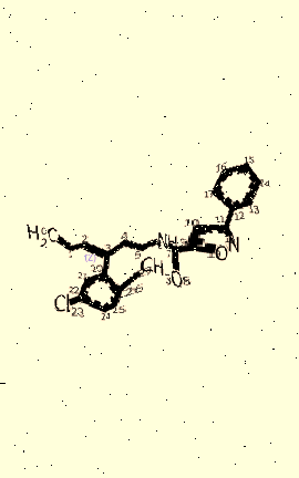 C=C/C=C(/CCNC(=O)c1cc(-c2ccccc2)no1)c1cc(Cl)ccc1C